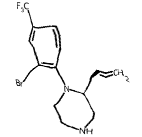 C=C[C@H]1CNCCN1c1ccc(C(F)(F)F)cc1Br